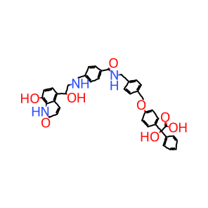 O=C(NCc1ccc(COc2ccc(C(O)(C(=O)O)c3ccccc3)cc2)cc1)c1ccc(CNCC(O)c2ccc(O)c3[nH]c(=O)ccc23)cc1